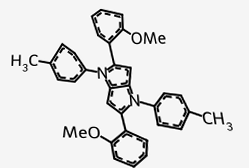 COc1ccccc1-c1cc2c(cc(-c3ccccc3OC)n2-c2ccc(C)cc2)n1-c1ccc(C)cc1